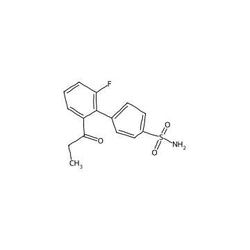 CCC(=O)c1cccc(F)c1-c1ccc(S(N)(=O)=O)cc1